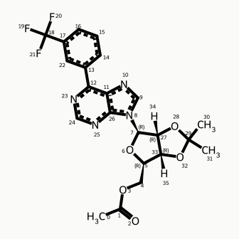 CC(=O)OC[C@H]1O[C@@H](n2cnc3c(-c4cccc(C(F)(F)F)c4)ncnc32)[C@@H]2OC(C)(C)O[C@@H]21